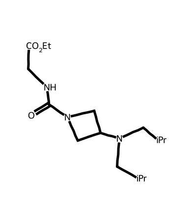 CCOC(=O)CNC(=O)N1CC(N(CC(C)C)CC(C)C)C1